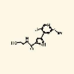 CC(C)Nc1cc(-c2c[nH]c(C(=O)NCCO)c2)c(Cl)cn1